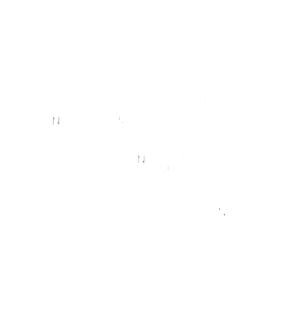 Cc1ccncc1-c1cccc2c(OCCN(C)C)noc12